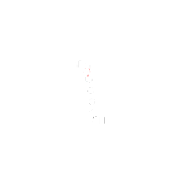 CCC/C=C\Oc1ccc(-c2ccc(-c3ccc(C4=CCC(C)CC4)c(F)c3)cc2)c(F)c1F